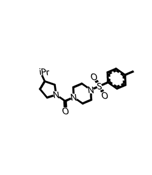 Cc1ccc(S(=O)(=O)N2CCN(C(=O)N3CCC(C(C)C)C3)CC2)cc1